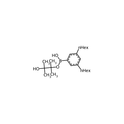 CCCCCCc1cc(CCCCCC)cc(B(O)OC(C)(C)C(C)(C)O)c1